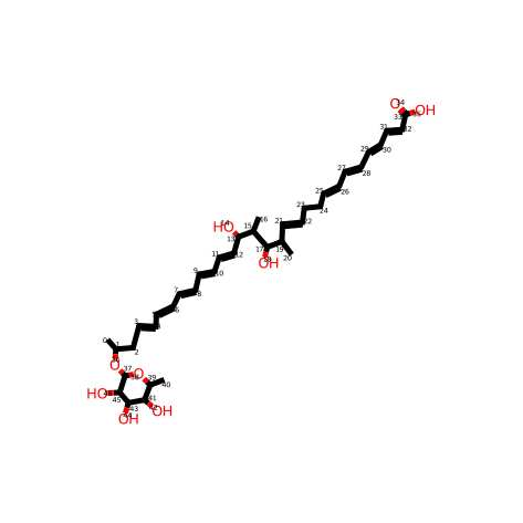 CC(C/C=C/C=C/C=C/C=C/C=C/C(O)C(C)C(O)C(C)/C=C/CC/C=C/C=C/C=C/C=C/C(=O)O)OC1OC(C)C(O)C(O)C1O